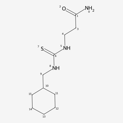 NC(=O)CCNC(=S)NCC1CCCCC1